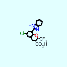 O=C(O)[C@@H]1Cc2cc(Cl)cc(-c3nc4ccccc4[nH]3)c2O[C@@H]1C(F)(F)F